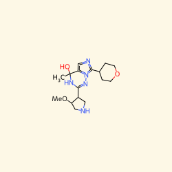 COC1CNCC1C1=Nn2c(cnc2C2CCOCC2)C(C)(O)N1